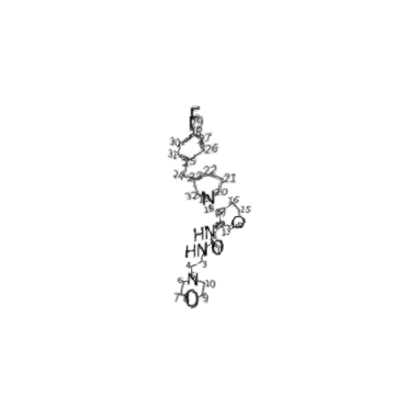 O=C(NCCN1CCOCC1)N[C@@H]1COCC[C@H]1CN1CCCC(Cc2ccc(F)cc2)C1